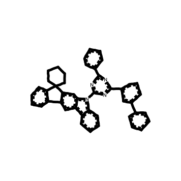 c1ccc(-c2cccc(-c3nc(-c4ccccc4)nc(-n4c5ccccc5c5cc6c(cc54)C4(CCCCC4)c4ccccc4-6)n3)c2)cc1